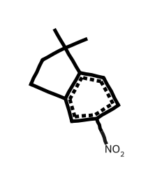 CC1(C)CCc2cc([N+](=O)[O-])ccc21